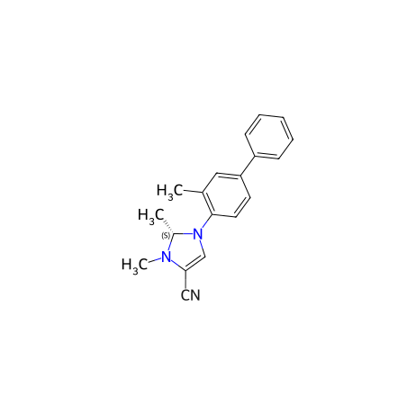 Cc1cc(-c2ccccc2)ccc1N1C=C(C#N)N(C)[C@@H]1C